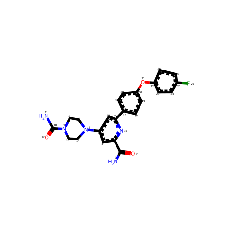 NC(=O)c1cc(N2CCN(C(N)=O)CC2)cc(-c2ccc(Oc3ccc(F)cc3)cc2)n1